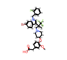 COc1cc(CC(=O)O)ccc1OC1CCN(CC(C)(c2cn(Cc3ccccc3F)c3cc(Br)ccc23)C(F)(F)F)CC1